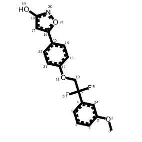 COc1cccc(C(F)(F)COc2ccc(-c3cc(O)no3)cc2)c1